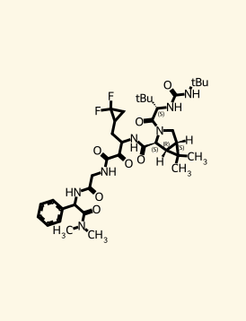 CN(C)C(=O)C(NC(=O)CNC(=O)C(=O)C(CC1CC1(F)F)NC(=O)[C@@H]1[C@@H]2[C@H](CN1C(=O)[C@@H](NC(=O)NC(C)(C)C)C(C)(C)C)C2(C)C)c1ccccc1